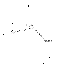 CCCCCCCCCCCCCCCCCCCCC(CN)CCCCCCCCCCCCCCCCCCCC